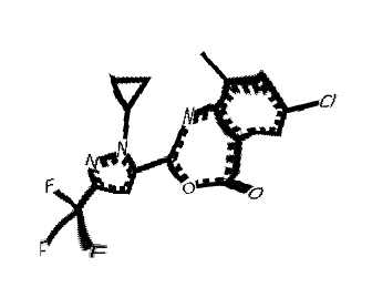 Cc1cc(Cl)cc2c(=O)oc(-c3cc(C(F)(F)F)nn3C3CC3)nc12